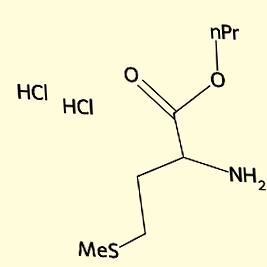 CCCOC(=O)C(N)CCSC.Cl.Cl